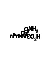 CCCC=CC(=O)N[C@@H](CCC(N)=O)C(=O)O